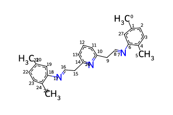 Cc1ccc(C)c(N=CCc2cccc(CC=Nc3cc(C)ccc3C)n2)c1